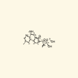 Cc1cnc(C(N)=O)c(-c2ccn([C@H]3O[C@H](CO)[C@@H](O)[C@H]3F)c(=O)n2)c1